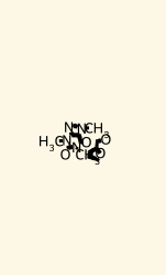 Cn1c(=O)c2c(ncn2C)n(C)c1=O.O=Cc1ccco1